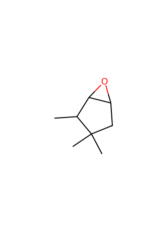 CC1C2OC2CC1(C)C